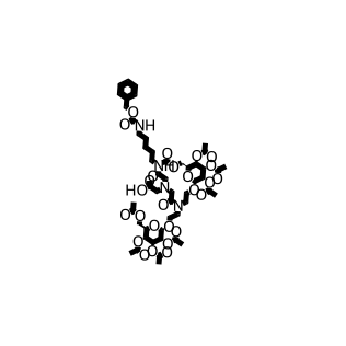 CC(=O)OC[C@H]1O[C@H](OCCN(CCO[C@H]2O[C@H](COC(C)=O)[C@@H](OC(C)=O)[C@H](OC(C)=O)[C@@H]2OC(C)=O)C(=O)CN(CC(=O)O)CC(=O)NCCCCCNC(=O)OCc2ccccc2)[C@@H](OC(C)=O)[C@@H](OC(C)=O)[C@@H]1OC(C)=O